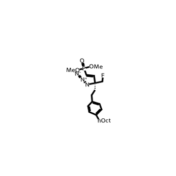 CCCCCCCCc1ccc(CC[C@](/C=C/P(=O)(OC)OC)(CF)N=[N+]=[N-])cc1